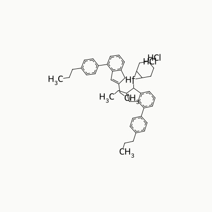 CCCc1ccc(-c2cccc3c2C=C(CC)[CH]3[Hf]2([CH]3C(CC)=Cc4c(-c5ccc(CCC)cc5)cccc43)[CH]3CCCC[CH]32)cc1.Cl.Cl